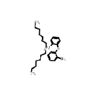 CCCCCC[CH2][Al+][CH2]CCCCCC.Cc1ccccc1[N-]c1ccccc1C